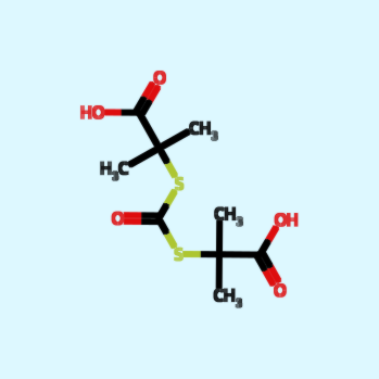 CC(C)(SC(=O)SC(C)(C)C(=O)O)C(=O)O